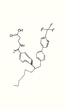 CCCCCCC(Cc1ccc(-c2ccc(C(F)(F)F)cc2)cc1)c1ccc(C(=O)NCCC(=O)O)cc1